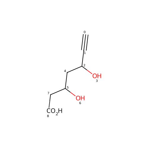 C#CC(O)CC(O)CC(=O)O